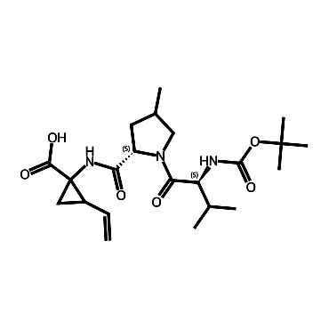 C=CC1CC1(NC(=O)[C@@H]1CC(C)CN1C(=O)[C@@H](NC(=O)OC(C)(C)C)C(C)C)C(=O)O